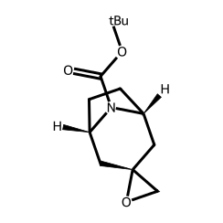 CC(C)(C)OC(=O)N1[C@@H]2CC[C@H]1C[C@]1(CO1)C2